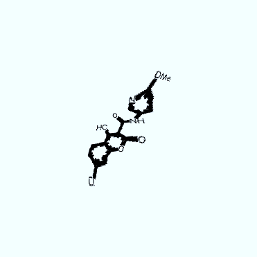 COc1ccc(NC(=O)c2c(O)c3ccc(Cl)cc3oc2=O)cn1